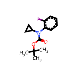 CC(C)(C)OC(=O)N(c1ccccc1I)C1CC1